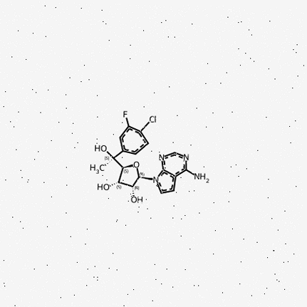 C[C@](O)(c1ccc(Cl)c(F)c1)[C@H]1O[C@@H](n2ccc3c(N)ncnc32)[C@H](O)[C@@H]1O